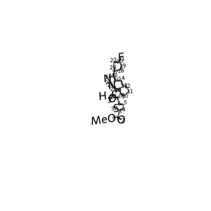 COC(=O)c1ccc(C(=O)[C@H]2CCCC3=Cc4c(-c5ccc(F)cc5)ncn4C[C@@]32C)s1